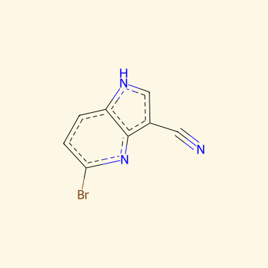 N#Cc1c[nH]c2ccc(Br)nc12